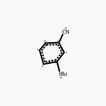 CC(C)(C)c1cc[c]c(C#N)c1